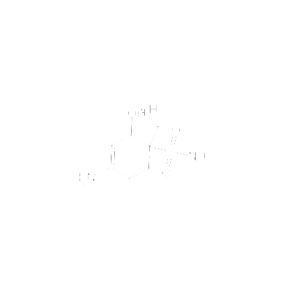 CCC1(S(N)(=O)=O)C=CC(N)=CC1O